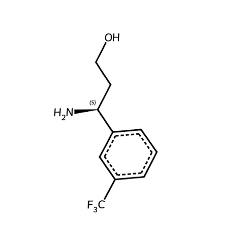 N[C@@H](CCO)c1cccc(C(F)(F)F)c1